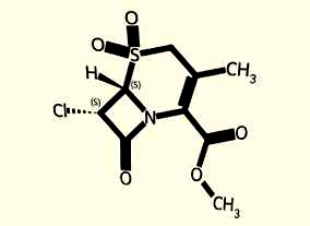 COC(=O)C1=C(C)CS(=O)(=O)[C@H]2[C@@H](Cl)C(=O)N12